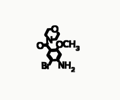 COc1cc(N)c(Br)cc1C(=O)N1CCOCC1